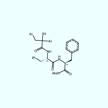 CNC(=O)[C@H](Cc1ccccc1)NC(=O)[C@H](CC(C)C)NC(=O)C(S)(CC(C)=O)C(C)=O